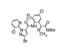 CN=C(C(=O)NC)c1cc(Cl)cc(C)c1NC(=O)c1cc(Br)nn1-c1ncccc1Cl